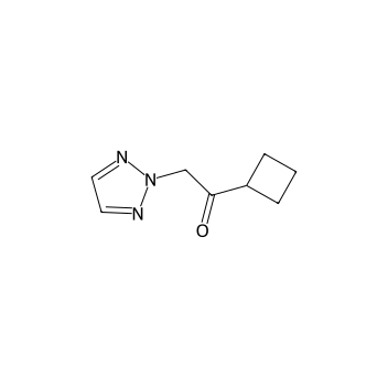 O=C(Cn1nccn1)C1CCC1